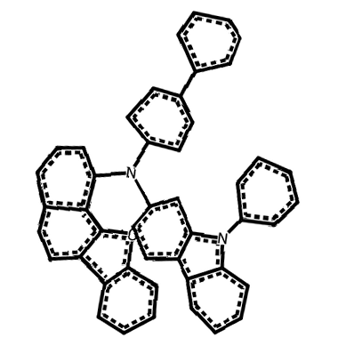 c1ccc(-c2ccc(N(c3ccc4c5ccccc5n(-c5ccccc5)c4c3)c3cccc4ccc5c6ccccc6oc5c34)cc2)cc1